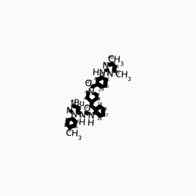 Cc1ccc(-n2nc(C(C)(C)C)cc2NC(=O)Nc2ccccc2CC2CCN(C(=O)c3cccc(Nc4nc(C)cc(C)n4)c3)CC2)cc1